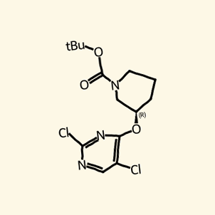 CC(C)(C)OC(=O)N1CCC[C@@H](Oc2nc(Cl)ncc2Cl)C1